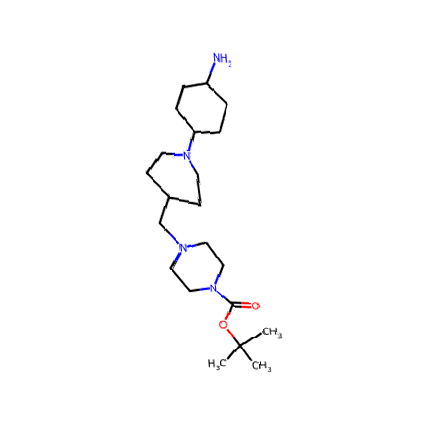 CC(C)(C)OC(=O)N1CCN(CC2CCN(C3CCC(N)CC3)CC2)CC1